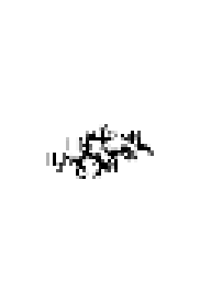 Cc1nsc(-c2nc(C)c3n2C(C)(C)CNC3C(N)=O)n1